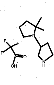 CC1(C)CCCN1C1CCNC1.O=C(O)C(F)(F)F